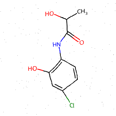 CC(O)C(=O)Nc1ccc(Cl)cc1O